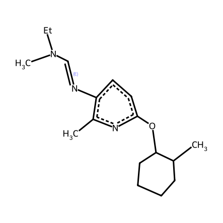 CCN(C)/C=N/c1ccc(OC2CCCCC2C)nc1C